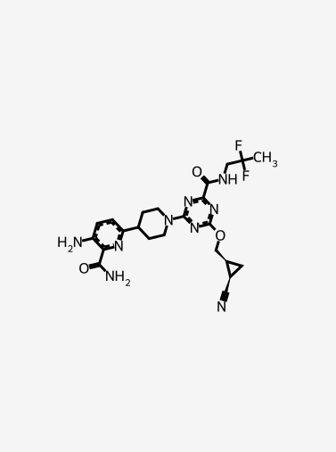 CC(F)(F)CNC(=O)c1nc(OC[C@H]2C[C@H]2C#N)nc(N2CCC(c3ccc(N)c(C(N)=O)n3)CC2)n1